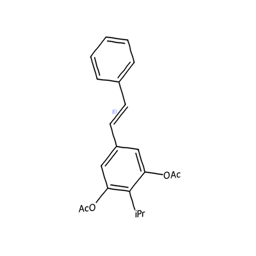 CC(=O)Oc1cc(/C=C/c2ccccc2)cc(OC(C)=O)c1C(C)C